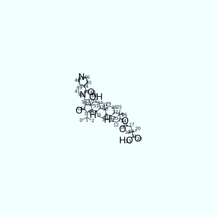 CC(C)C1=C2[C@H]3CC[C@@H]4[C@@]5(C)CC[C@H](OC(=O)CC(C)(C)C(=O)O)C(C)(C)C5CC[C@@]4(C)[C@]3(C)CC[C@@]2([C@@H](O)CN(C)C(=O)c2ccncc2)CC1=O